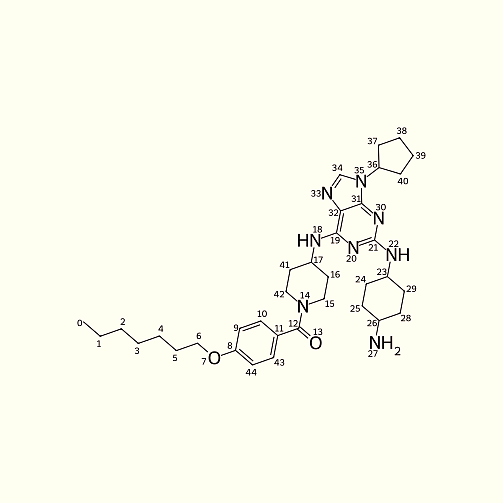 CCCCCCCOc1ccc(C(=O)N2CCC(Nc3nc(NC4CCC(N)CC4)nc4c3ncn4C3CCCC3)CC2)cc1